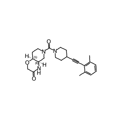 Cc1cccc(C)c1C#CC1CCN(C(=O)N2CC[C@@H]3OCC(=O)N[C@@H]3C2)CC1